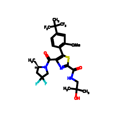 COc1cc(C(C)(C(F)(F)F)C(F)(F)F)ccc1-c1sc(C(=O)NCC(C)(C)O)nc1C(=O)N1CC(F)(F)C[C@@H]1C